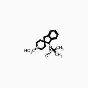 CC1(C)N([C@H]2c3ccccc3CC23CCN(C(=O)O)CC3)[S+]1[O-]